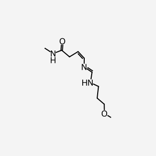 CNC(=O)C/C=C\N=C\NCCCOC